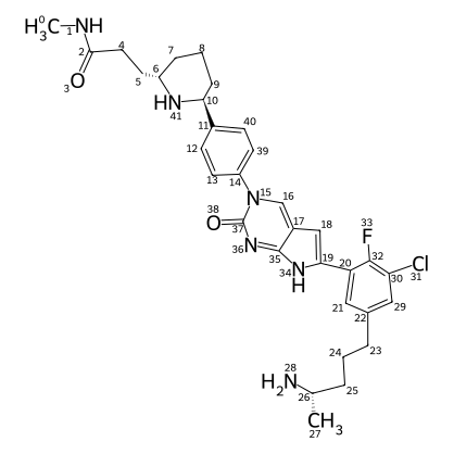 CNC(=O)CC[C@@H]1CCC[C@@H](c2ccc(-n3cc4cc(-c5cc(CCC[C@H](C)N)cc(Cl)c5F)[nH]c4nc3=O)cc2)N1